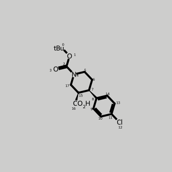 CC(C)(C)OC(=O)N1CC[C@@H](c2ccc(Cl)cc2)[C@@H](C(=O)O)C1